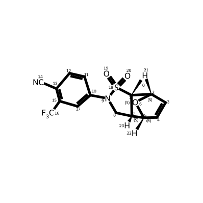 C[C@@]12[C@@H]3C=C[C@@H](O3)[C@@H]1CN(c1ccc(C#N)c(C(F)(F)F)c1)S2(=O)=O